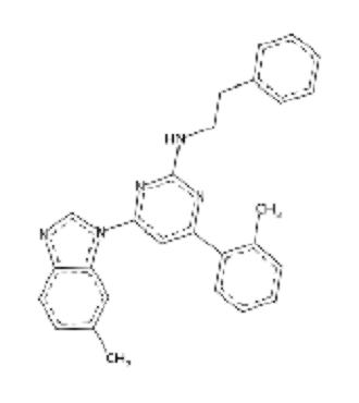 Cc1ccc2ncn(-c3cc(-c4ccccc4C)nc(NCCc4ccccc4)n3)c2c1